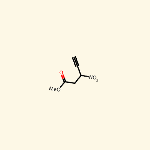 C#CC(CC(=O)OC)[N+](=O)[O-]